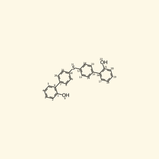 Oc1ccccc1-c1ccc(Sc2ccc(-c3ccccc3O)cc2)cc1